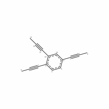 CC#Cc1c[c]c(C#CC)c(C#CC)c1